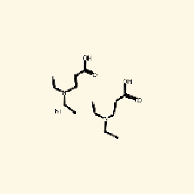 CCN(CC)CCC(=O)O.CCN(CC)CCC(=O)O.[Ni]